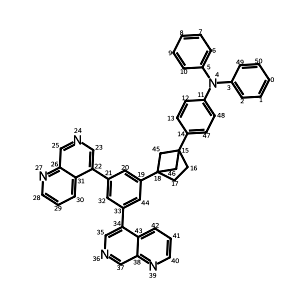 c1ccc(N(c2ccccc2)c2ccc(C34CCC(c5cc(-c6cncc7ncccc67)cc(-c6cncc7ncccc67)c5)(C3)C4)cc2)cc1